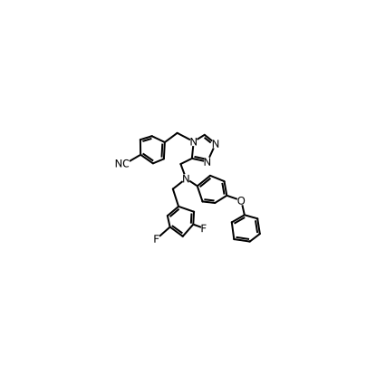 N#Cc1ccc(Cn2cnnc2CN(Cc2cc(F)cc(F)c2)c2ccc(Oc3ccccc3)cc2)cc1